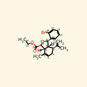 C=C(C)[C@H]1CC=C(C)[C@H]2[C@@H]1[C@H](c1ccccc1Br)O[C@@H]2C(=O)OCC